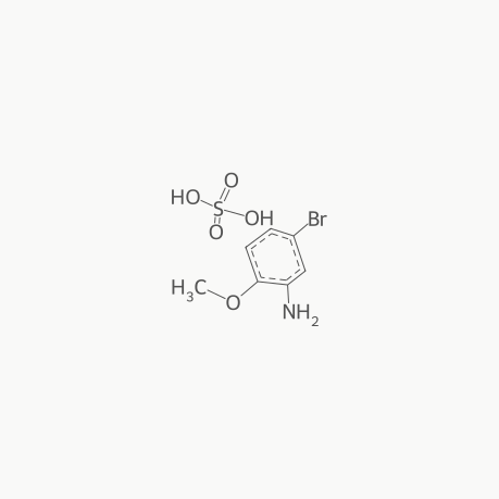 COc1ccc(Br)cc1N.O=S(=O)(O)O